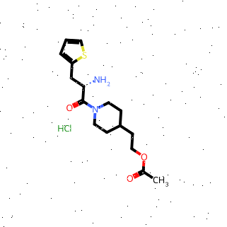 CC(=O)OCCC1CCN(C(=O)[C@@H](N)Cc2cccs2)CC1.Cl